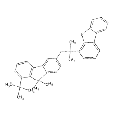 CC(C)(C)c1cccc2c1C(C)(C)c1ccc(CC(C)(C)c3cccc4c3sc3ccccc34)cc1-2